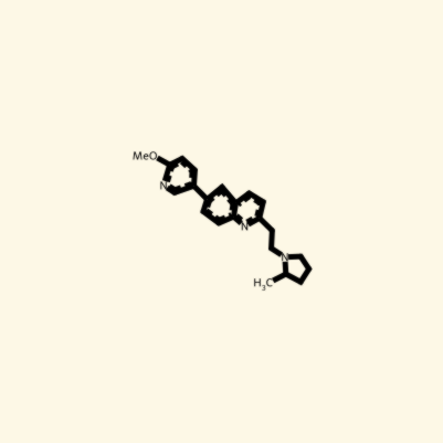 COc1ccc(-c2ccc3nc(CCN4CCCC4C)ccc3c2)cn1